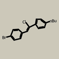 CCCCc1ccc(/C(Cl)=C/c2ccc(Br)cc2)cc1